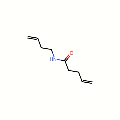 C=CCCNC(=O)CCC=C